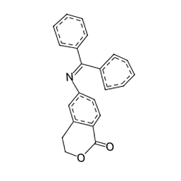 O=C1OCCc2cc(N=C(c3ccccc3)c3ccccc3)ccc21